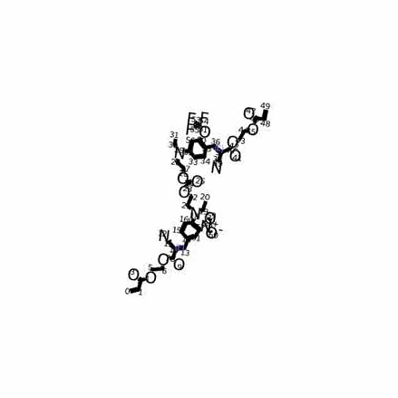 C=CC(=O)OCCOC(=O)/C(C#N)=C/c1ccc(N(CC)CCOC(=O)OCCN(CC)c2ccc(/C=C(\C#N)C(=O)OCCOC(=O)C=C)c(OC(F)(F)F)c2)c([N+](=O)[O-])c1